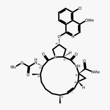 CNC(=O)[C@@]12C[C@@H]1/C=C\[C@@H](C)CCC[C@@H](C)[C@H](NC(=O)OC(C)(C)C)C(=O)N1C[C@H](Oc3ncc(OC)c4c(Cl)cccc34)C[C@H]1C(=O)N2